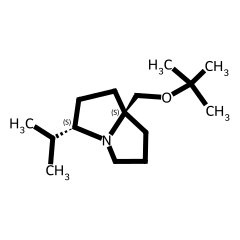 CC(C)[C@@H]1CC[C@]2(COC(C)(C)C)CCCN12